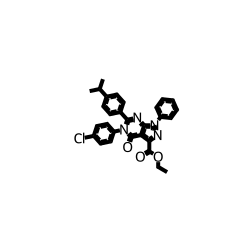 CCOC(=O)c1nn(-c2ccccc2)c2nc(-c3ccc(C(C)C)cc3)n(-c3ccc(Cl)cc3)c(=O)c12